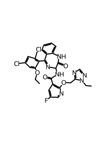 CCOc1cc(Cl)cc(Cl)c1C1=NC(NC(=O)c2cc(F)cnc2OCc2ncnn2CC)C(=O)Nc2ccccc21